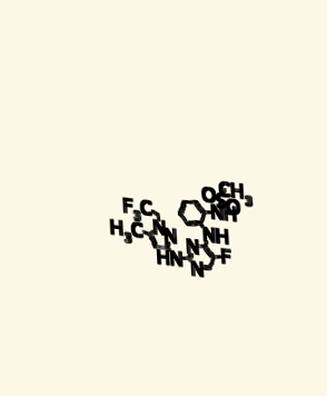 Cc1cc(Nc2ncc(F)c(Nc3ccccc3NS(C)(=O)=O)n2)nn1CC(F)(F)F